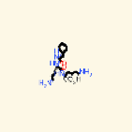 NCCCC[C@H](NC(=O)[C@H](CCCCN)NC(=O)[C@@H](N)CC1CCCCC1)C(=O)O